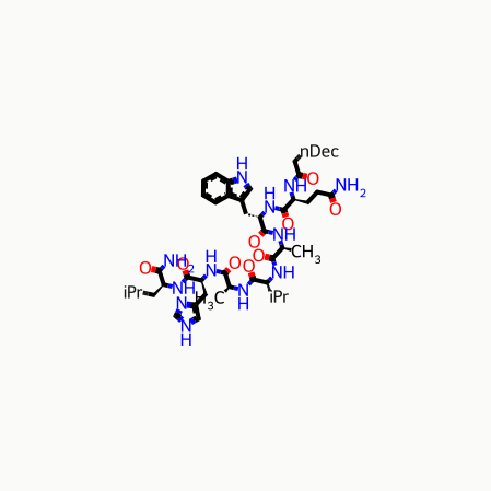 CCCCCCCCCCCC(=O)N[C@@H](CCC(N)=O)C(=O)N[C@@H](Cc1c[nH]c2ccccc12)C(=O)N[C@@H](C)C(=O)N[C@H](C(=O)N[C@@H](C)C(=O)N[C@@H](Cc1c[nH]cn1)C(=O)N[C@@H](CC(C)C)C(N)=O)C(C)C